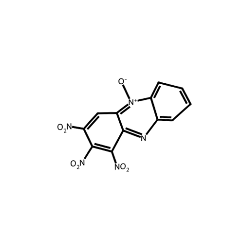 O=[N+]([O-])c1cc2c(nc3ccccc3[n+]2[O-])c([N+](=O)[O-])c1[N+](=O)[O-]